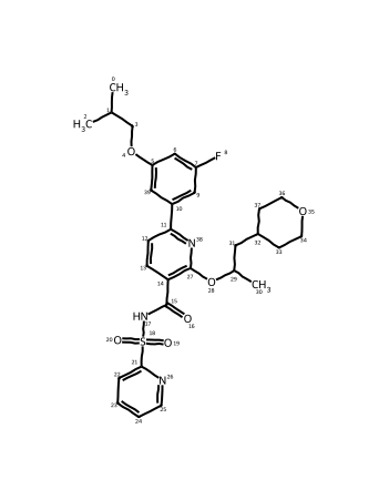 CC(C)COc1cc(F)cc(-c2ccc(C(=O)NS(=O)(=O)c3ccccn3)c(OC(C)CC3CCOCC3)n2)c1